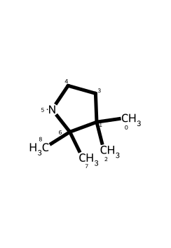 CC1(C)CC[N]C1(C)C